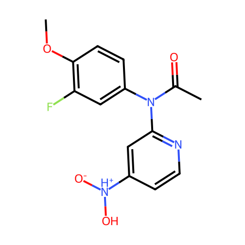 COc1ccc(N(C(C)=O)c2cc([NH+]([O-])O)ccn2)cc1F